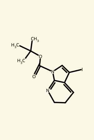 CC(C)(C)OC(=O)n1cc(I)c2c1=NCCC=2